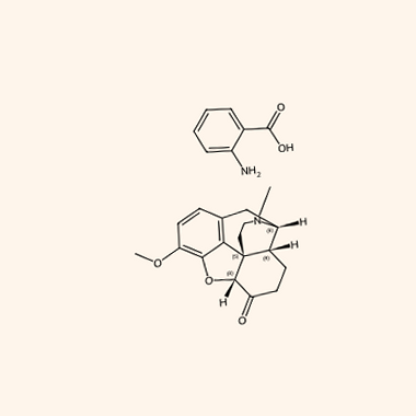 COc1ccc2c3c1O[C@H]1C(=O)CC[C@H]4[C@@H](C2)N(C)CC[C@]314.Nc1ccccc1C(=O)O